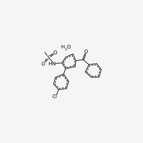 CS(=O)(=O)Nc1ccc(C(=O)c2ccccc2)cc1-c1ccc(Cl)cc1.O